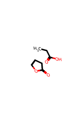 CCC(=O)O.O=C1CCCO1